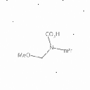 CCCN(COC)C(=O)O